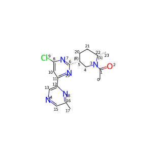 CC(=O)N1C[C@H](c2nc(Cl)cc(-c3cncc(C)n3)n2)CC[C@@H]1C